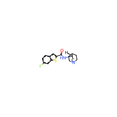 O=C(N[C@H]1CN2CCC1CC2)c1cc2ccc(F)cc2s1